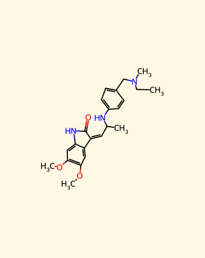 CCN(C)Cc1ccc(NC(C)C=C2C(=O)Nc3cc(OC)c(OC)cc32)cc1